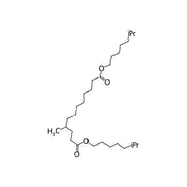 CC(C)CCCCCOC(=O)CCCCCCCC(C)CCC(=O)OCCCCCC(C)C